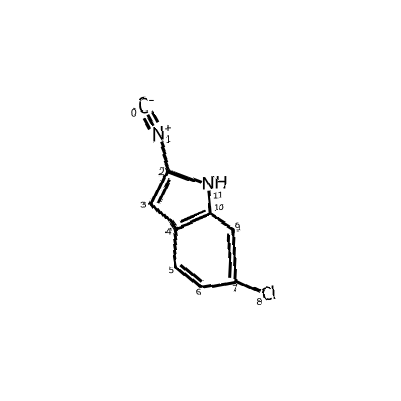 [C-]#[N+]c1cc2ccc(Cl)cc2[nH]1